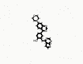 Oc1ccc(-c2ncnc3cc(N4CCOCC4)ccc23)cc1Cc1ncnc2sccc12